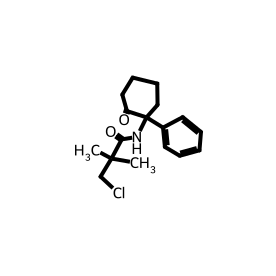 CC(C)(CCl)C(=O)NC1(c2ccccc2)CCCCC1=O